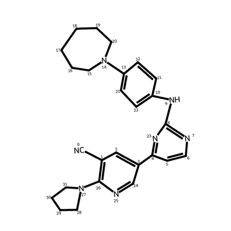 N#Cc1cc(-c2ccnc(Nc3ccc(N4CCCCCC4)cc3)n2)cnc1N1CCCC1